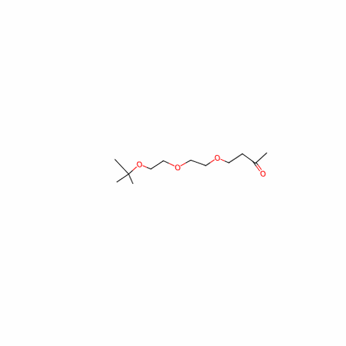 CC(=O)CCOCCOCCOC(C)(C)C